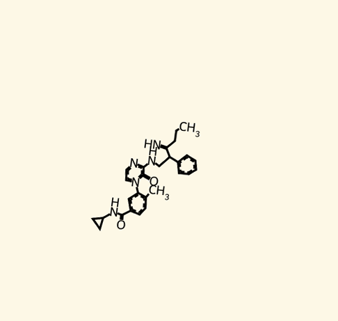 CCCC(=N)C(CNc1nccn(-c2cc(C(=O)NC3CC3)ccc2C)c1=O)c1ccccc1